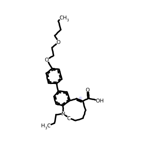 CCCCOCCOc1ccc(-c2ccc3c(c2)/C=C(/C(=O)O)CCCCN3CCC)cc1